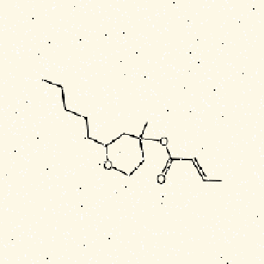 CC=CC(=O)OC1(C)CCOC(CCCCC)C1